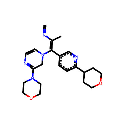 C=N/C(C)=C(/c1ccc(C2CCOCC2)nc1)N1C=CN=C(N2CCOCC2)C1